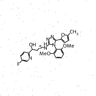 COc1cccc(OC)c1-n1c(NSCC(O)c2ccc(F)cn2)nnc1-c1ccc(C)o1